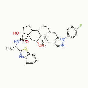 CC(NC(=O)[C@@]1(O)CCC2C3CCC4=Cc5c(cnn5-c5ccc(F)cc5)CC4(C)C3[C@@H](O)CC21C)c1nc2ccccc2s1